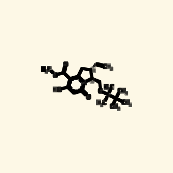 C=C[C@H]1Cc2c(C(=O)OC)c(O)cc(=O)n2[C@@H]1CO[Si](C)(C)C(C)(C)C